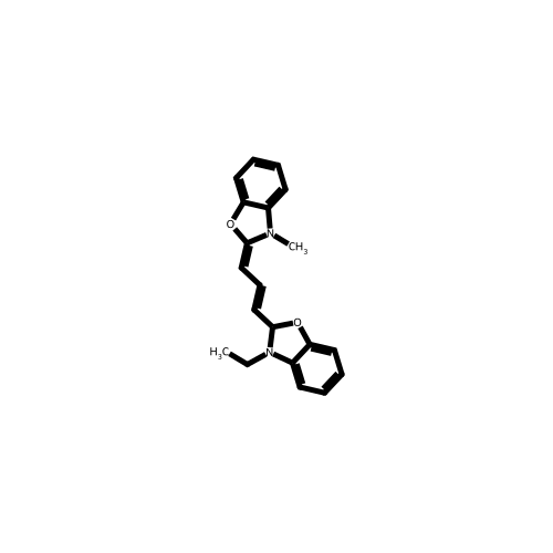 CCN1c2ccccc2OC1/C=C/C=C1/Oc2ccccc2N1C